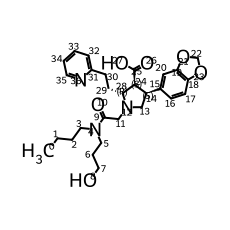 CCCCN(CCCO)C(=O)CN1C[C@H](c2ccc3c(c2)OCO3)[C@H](C(=O)O)[C@H]1CCc1ccccn1